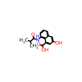 CC(C)C(=O)Nc1cccc2cc(O)cc(C(=O)O)c12